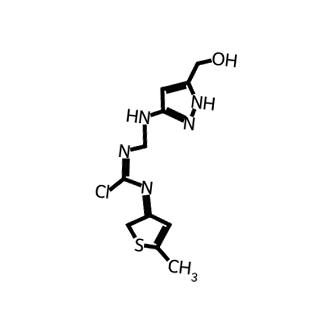 CC1=C/C(=N/C(Cl)=N\CNc2cc(CO)[nH]n2)CS1